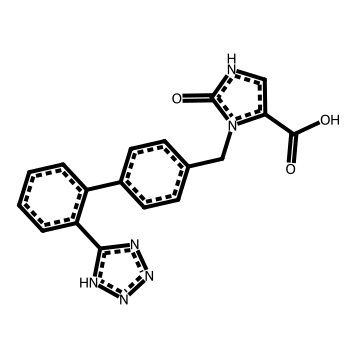 O=C(O)c1c[nH]c(=O)n1Cc1ccc(-c2ccccc2-c2nnn[nH]2)cc1